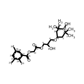 CC1(C)CC(OCC(O)COC(=O)COC(=O)c2cc(I)cc(I)c2I)CC(C)(C)N1O